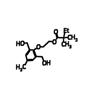 CCC(C)(C)C(=O)OCCOc1c(CO)cc(C)cc1CO